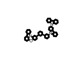 c1cc(-c2cccc(-n3c4ccccc4c4cc(-n5c6ccccc6c6ccccc65)ccc43)c2)cc(-c2ccc3c(c2)-n2c4ccccc4c4cccc(c42)O3)c1